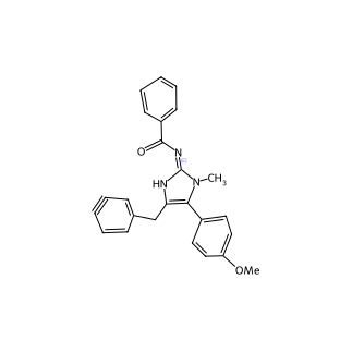 COc1ccc(-c2c(Cc3cc#ccc3)[nH]/c(=N\C(=O)c3ccccc3)n2C)cc1